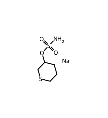 NS(=O)(=O)OC1CCCSC1.[Na]